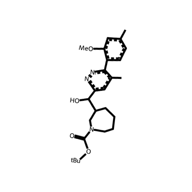 COc1cc(C)ccc1-c1nnc(C(O)C2CCCCN(C(=O)OC(C)(C)C)C2)cc1C